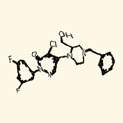 O=c1c(Cl)c(N2CCN(Cc3ccccc3)CC2CO)cnn1-c1cc(F)cc(F)c1